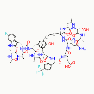 CC[C@@H](NC(C)=O)C(=O)N[C@H](C)C(=O)N[C@H](Cc1c[nH]c2cc(F)ccc12)C(=O)N[C@H](Cc1ccc(O)cc1)C(=O)N[C@H](C)C(=O)NC1(C)CCCCCCCCC(C)(C(=O)N[C@H](CC(C)C)C(=O)N[C@H](CO)C(=O)N[C@H](C)C(=O)NC)NC(=O)[C@@H](CCC(N)=O)NC(=O)[C@@H](CCC(=O)O)NC(=O)[C@@H](Cc2ccc(C(F)(F)F)cc2)NC1=O